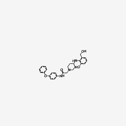 O=C(CN1CCC(Nc2c(O)cccc2CO)CC1)Nc1ccc(Oc2ccccc2)cc1